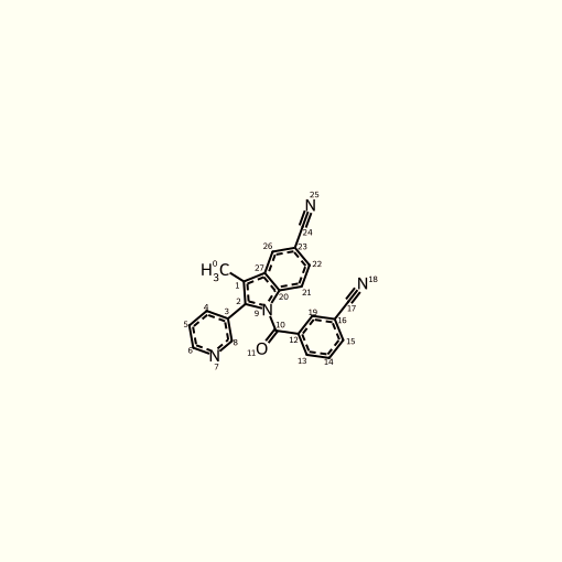 Cc1c(-c2cccnc2)n(C(=O)c2cccc(C#N)c2)c2ccc(C#N)cc12